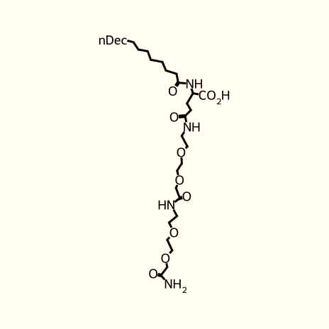 CCCCCCCCCCCCCCCCCC(=O)NC(CCC(=O)NCCOCCOCC(=O)NCCOCCOCC(N)=O)C(=O)O